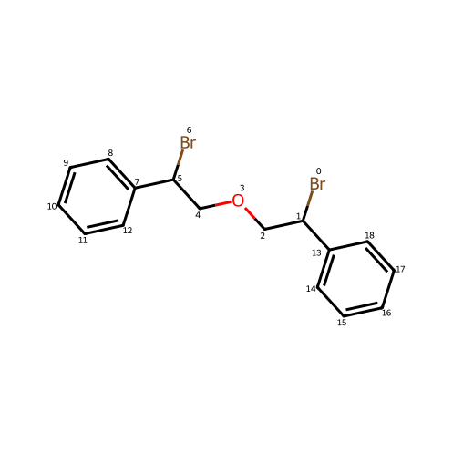 BrC(COCC(Br)c1ccccc1)c1ccccc1